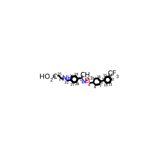 C/C(=N\OCC1C=CC(c2cccc(C(F)(F)F)c2)=CC1)c1ccc(CNCCC(=O)O)cc1